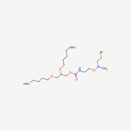 CCCCCCCCCCCCCCOCC(COC(=O)NCCON(C)COC(C)C)OCCCCCCCCCCCCCC